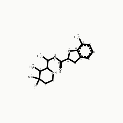 CCCC1(CC)CCNC(C(C)NC(=O)C2Cc3cccc(C)c3N2)C1C